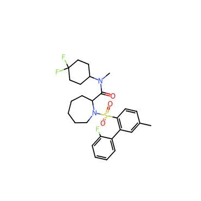 Cc1ccc(S(=O)(=O)N2CCCCCC2C(=O)N(C)C2CCC(F)(F)CC2)c(-c2ccccc2F)c1